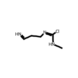 CN/C(Cl)=N\CCC=N